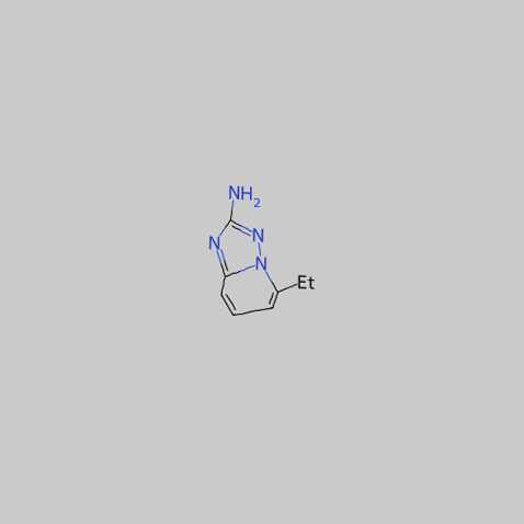 CCc1cccc2nc(N)nn12